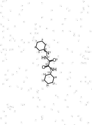 O=C(NN=C1CCCCC1)C(=O)NC1CCCCC1